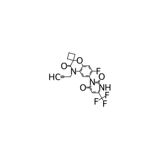 C#CCN1C(=O)C2(CCC2)Oc2cc(F)c(-n3c(=O)cc(C(F)(F)F)[nH]c3=O)cc21